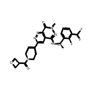 C[C@@H](Nc1nn(C)c(=O)c2nnc(C3CCN(C(=O)C4COC4)CC3)cc12)c1cccc(C(F)F)c1F